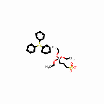 CCO[Si](CCCS(=O)(=O)[O-])(OCC)OCC.c1ccc([S+](c2ccccc2)c2ccccc2)cc1